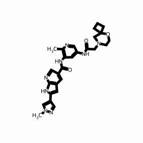 Cc1ncc(NC(=O)CN2CCOC3(CCC3)C2)cc1NC(=O)c1cnc2[nH]c(-c3cnn(C)c3)cc2c1